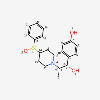 C[C@@H]([C@@H](O)c1ccc(O)cc1)N1CCC([S+]([O-])c2ccccc2)CC1